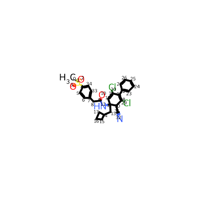 CS(=O)(=O)c1ccc(CC(=O)NC2(CC3CCC3)C=C(Cl)C(c3ccccc3)=C(Cl)C2C#N)cc1